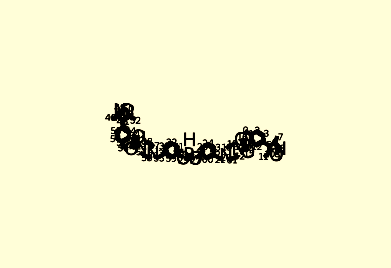 Cc1ccc(-c2c(C)noc2C)cc1S(=O)(=O)N1CCN(Cc2cccc(OBOc3cccc(CN4CCN(S(=O)(=O)c5cc(-c6c(C)noc6C)ccc5C)CC4)c3)c2)CC1